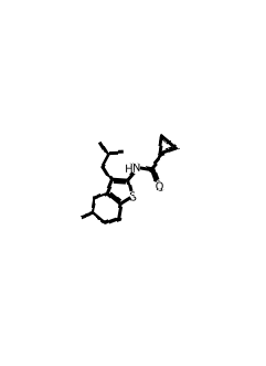 CC(C)Cc1c(NC(=O)C2CC2)sc2c1CC(C)CC2